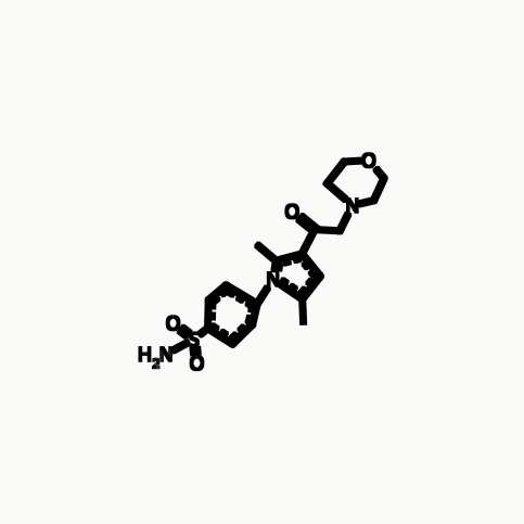 Cc1cc(C(=O)CN2CCOCC2)c(C)n1-c1ccc(S(N)(=O)=O)cc1